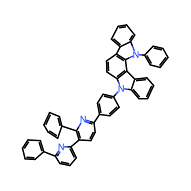 c1ccc(-c2cccc(-c3ccc(-c4ccc(-n5c6ccccc6c6c5ccc5c7ccccc7n(-c7ccccc7)c56)cc4)nc3-c3ccccc3)n2)cc1